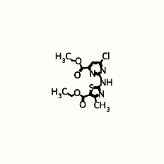 CCOC(=O)c1cc(Cl)nc(Nc2nc(C)c(C(=O)OCC)s2)n1